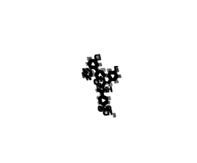 CS(=O)(=O)c1ccc(-c2cnc([C@H](Cc3ccc(F)cc3)n3ccc(-c4cc(Cl)ccc4-n4cnnn4)cc3=O)[nH]2)cc1